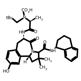 C[C@@H](C(=O)N[C@H]1Cc2ccc(O)cc2[C@H]2CC(C)(C)C(C(=O)N[C@@H]3CCCc4ccccc43)N2C1=O)N(CC(C)(C)C)C(=O)O